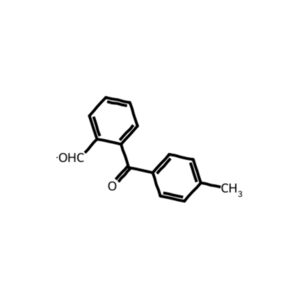 Cc1ccc(C(=O)c2ccccc2[C]=O)cc1